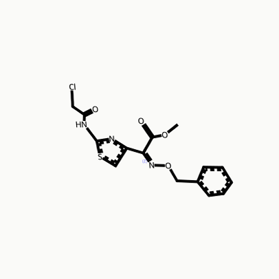 COC(=O)/C(=N\OCc1ccccc1)c1csc(NC(=O)CCl)n1